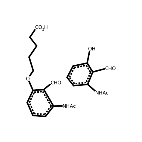 CC(=O)Nc1cccc(O)c1C=O.CC(=O)Nc1cccc(OCCCCC(=O)O)c1C=O